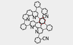 N#Cc1ccccc1-c1cc(-c2ccccc2-c2ccccc2)c2ccc3ccc(-c4ccccc4-c4ccc5ccc6c(-c7ccccc7-c7ccccc7)cc(-c7ccccc7C#N)nc6c5n4)nc3c2n1